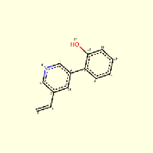 C=Cc1cncc(-c2ccccc2O)c1